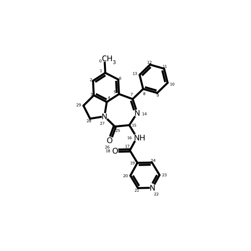 Cc1cc2c3c(c1)C(c1ccccc1)=NC(NC(=O)c1ccncc1)C(=O)N3CC2